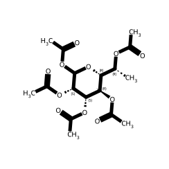 CC(=O)OC1O[C@H]([C@@H](C)OC(C)=O)[C@@H](OC(C)=O)[C@H](OC(C)=O)[C@@H]1OC(C)=O